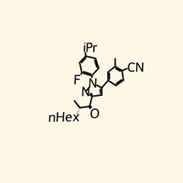 CCCCCC[C@H](C)C(=O)c1cc(-c2ccc(C#N)c(C)c2)n(-c2ccc(C(C)C)cc2F)n1